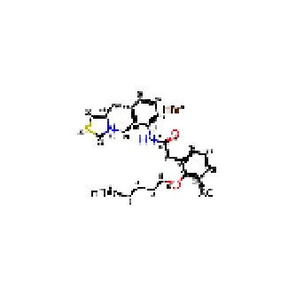 Br.CCCCCCCCCCCCCCOc1c(CC(=O)Nc2ccccc2CN2CSC=C2C)cccc1C(C)=O